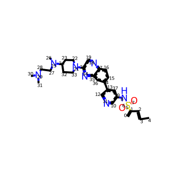 C=C(C=CC)S(=O)(=O)Nc1cncc(-c2ccc3ncc(N4CCC(N(C)CCN(C)C)CC4)nc3c2)c1